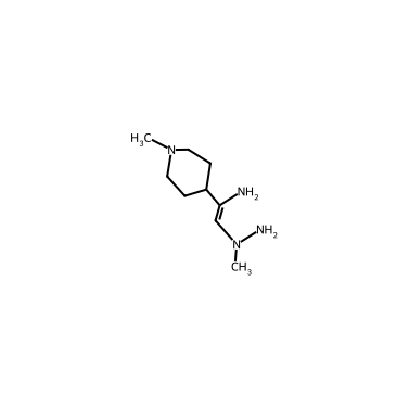 CN(N)/C=C(\N)C1CCN(C)CC1